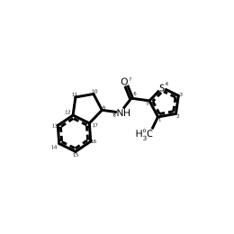 Cc1ccsc1C(=O)NC1CCc2ccccc21